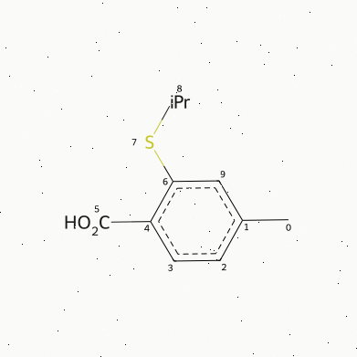 Cc1ccc(C(=O)O)c(SC(C)C)c1